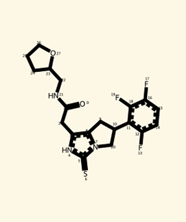 O=C(Cc1[nH]c(=S)n2c1CC(c1c(F)ccc(F)c1F)C2)NCC1CCCO1